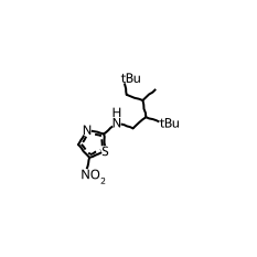 CC(CC(C)(C)C)C(CNc1ncc([N+](=O)[O-])s1)C(C)(C)C